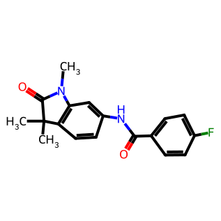 CN1C(=O)C(C)(C)c2ccc(NC(=O)c3ccc(F)cc3)cc21